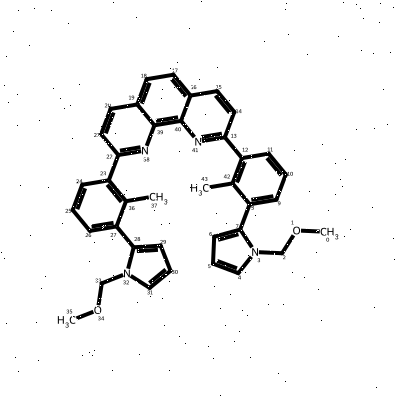 COCn1cccc1-c1cccc(-c2ccc3ccc4ccc(-c5cccc(-c6cccn6COC)c5C)nc4c3n2)c1C